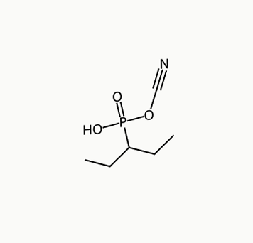 CCC(CC)P(=O)(O)OC#N